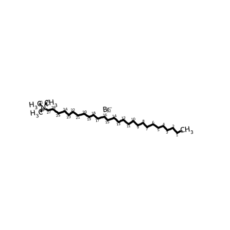 CCCCCCCCCCCCCCCCCCCCCCCCCCCC[N+](C)(C)C.[Br-]